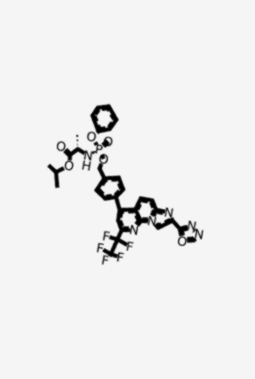 CC(C)OC(=O)[C@H](C)N[P@@](=O)(OCc1ccc(-c2cc(C(F)(F)C(F)(F)F)nc3c2ccc2nc(-c4nnco4)cn23)cc1)Oc1ccccc1